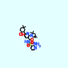 C[C@@H]1CN(c2nc(C3CC(C)(C)CCC3O)ccc2C(=O)NS(=O)(=O)c2cccnc2N)C(C)(C)C1